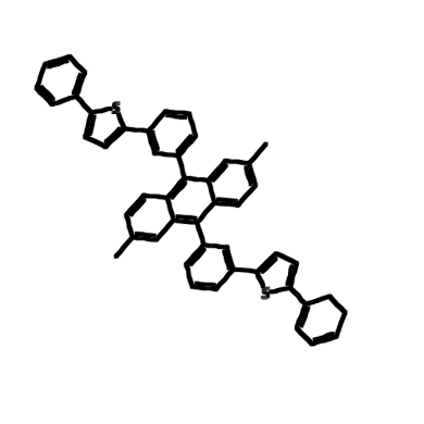 Cc1ccc2c(-c3cccc(-c4ccc(-c5ccccc5)s4)c3)c3cc(C)ccc3c(-c3cccc(-c4ccc(C5=CC=CCC5)s4)c3)c2c1